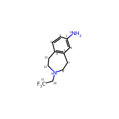 Nc1ccc2c(c1)CCN(CC(F)(F)F)CC2